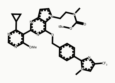 COc1ncnc(C2CC2)c1-c1nc(OCc2ccc(-c3nc(C(F)(F)F)cn3C)cc2)c2c(ccn2CCN(C)C(=O)OC(C)(C)C)n1